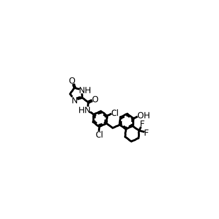 O=C1CN=C(C(=O)Nc2cc(Cl)c(Cc3ccc(O)c4c3CCCC4(F)F)c(Cl)c2)N1